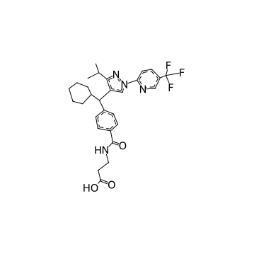 CC(C)c1nn(-c2ccc(C(F)(F)F)cn2)cc1C(c1ccc(C(=O)NCCC(=O)O)cc1)C1CCCCC1